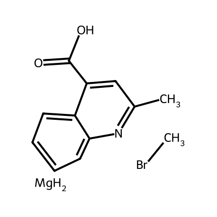 CBr.Cc1cc(C(=O)O)c2ccccc2n1.[MgH2]